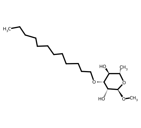 CCCCCCCCCCCCO[C@@H]1[C@@H](O)[C@H](C)O[C@@H](OC)[C@@H]1O